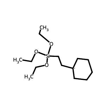 CCO[Si](CC[C]1CCCCC1)(OCC)OCC